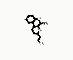 CC=Cc1ccc2c(n1)c(N)nc1ccccc12